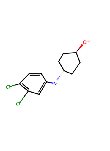 O[C@H]1CC[C@H]([N]c2ccc(Cl)c(Cl)c2)CC1